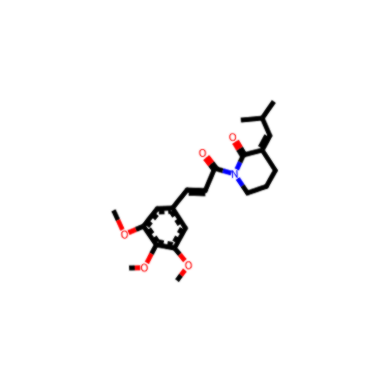 COc1cc(/C=C/C(=O)N2CCC/C(=C/C(C)C)C2=O)cc(OC)c1OC